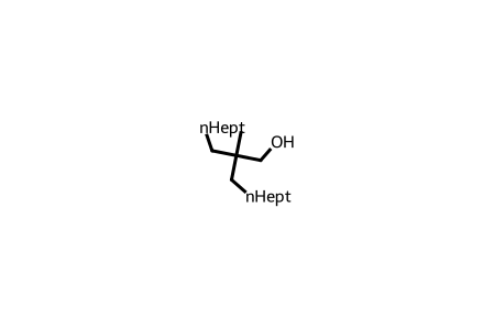 CCCCCCCCC(C)(CO)CCCCCCCC